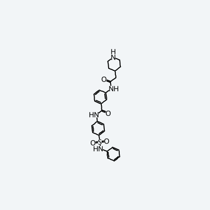 O=C(CC1CCNCC1)Nc1cccc(C(=O)Nc2ccc(S(=O)(=O)Nc3ccccc3)cc2)c1